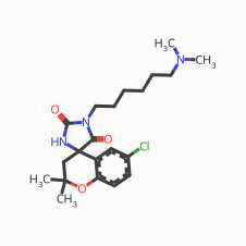 CN(C)CCCCCCN1C(=O)NC2(CC(C)(C)Oc3ccc(Cl)cc32)C1=O